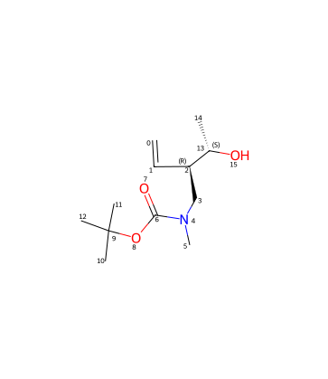 C=C[C@H](CN(C)C(=O)OC(C)(C)C)[C@H](C)O